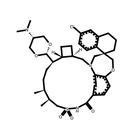 C[C@@H]1CS(=O)(=O)NC(=O)c2ccc3c(c2)N(C[C@@H]2CC[C@H]2[C@H]([C@H]2OC[C@@H](N(C)C)CO2)CC[C@@H]1C)C[C@@]1(CCCc2cc(Cl)ccc21)CO3